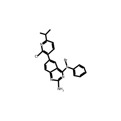 CC(C)c1ccc(-c2ccc3nc(N)nc(N(Br)c4ccccc4)c3c2)c(Cl)n1